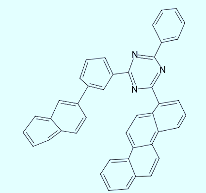 c1ccc(-c2nc(-c3cccc(-c4ccc5ccccc5c4)c3)nc(-c3cccc4c3ccc3c5ccccc5ccc43)n2)cc1